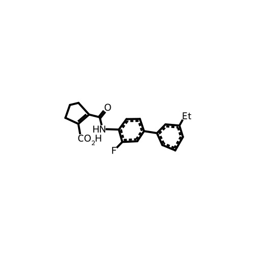 CCc1cccc(-c2ccc(NC(=O)C3=C(C(=O)O)CCC3)c(F)c2)c1